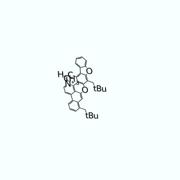 Cc1c2c(c(CC(C)(C)C)c3oc4ccccc4c13)Oc1cc3c(CC(C)(C)C)cccc3c3cc[n+](C)c-2c13